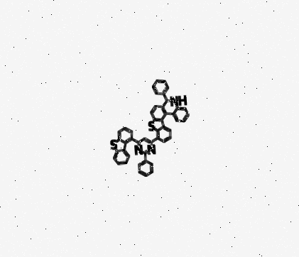 c1ccc(-c2nc(-c3cccc4c3sc3ccc5c(c34)-c3ccccc3NC5c3ccccc3)cc(-c3cccc4sc5ccccc5c34)n2)cc1